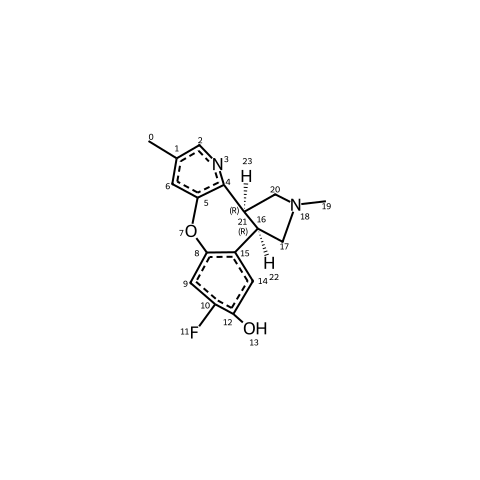 Cc1cnc2c(c1)Oc1cc(F)c(O)cc1[C@@H]1CN(C)C[C@H]21